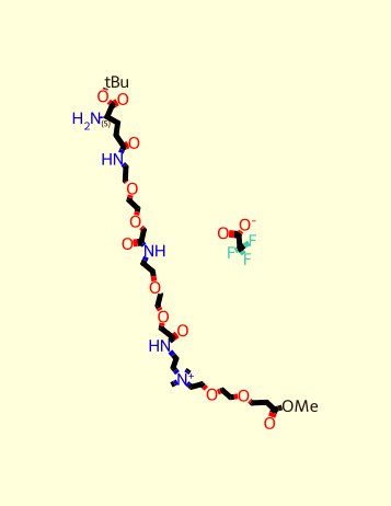 COC(=O)CCOCCOCC[N+](C)(C)CCNC(=O)COCCOCCNC(=O)COCCOCCNC(=O)CC[C@H](N)C(=O)OC(C)(C)C.O=C([O-])C(F)(F)F